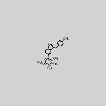 Cc1ccc(Cc2csc3ccc([C@@H]4O[C@H](CO)[C@@H](O)[C@H](O)[C@H]4O)cc23)cc1